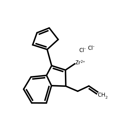 C=CCC1[C]([Zr+2])=C(C2=CC=CC2)c2ccccc21.[Cl-].[Cl-]